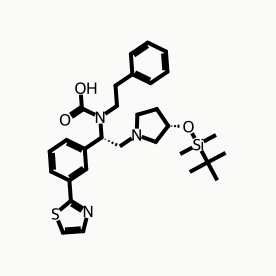 CC(C)(C)[Si](C)(C)O[C@H]1CCN(C[C@H](c2cccc(-c3nccs3)c2)N(CCc2ccccc2)C(=O)O)C1